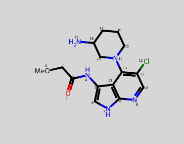 COCC(=O)Nc1c[nH]c2ncc(Cl)c(N3CCCC(N)C3)c12